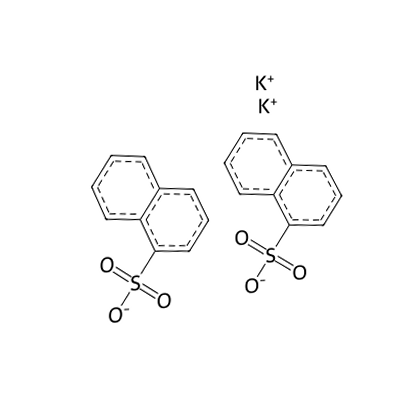 O=S(=O)([O-])c1cccc2ccccc12.O=S(=O)([O-])c1cccc2ccccc12.[K+].[K+]